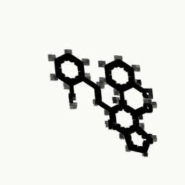 O=c1c2sccc2nc(C=Cc2ccccc2F)n1-c1ccccc1Cl